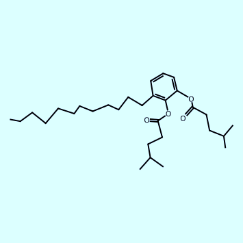 CCCCCCCCCCCCc1cccc(OC(=O)CCC(C)C)c1OC(=O)CCC(C)C